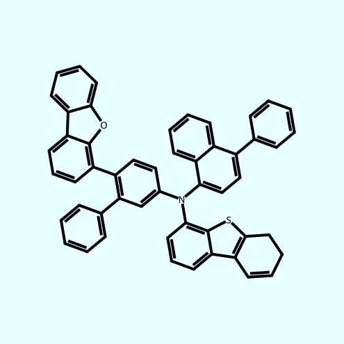 C1=Cc2c(sc3c(N(c4ccc(-c5cccc6c5oc5ccccc56)c(-c5ccccc5)c4)c4ccc(-c5ccccc5)c5ccccc45)cccc23)CC1